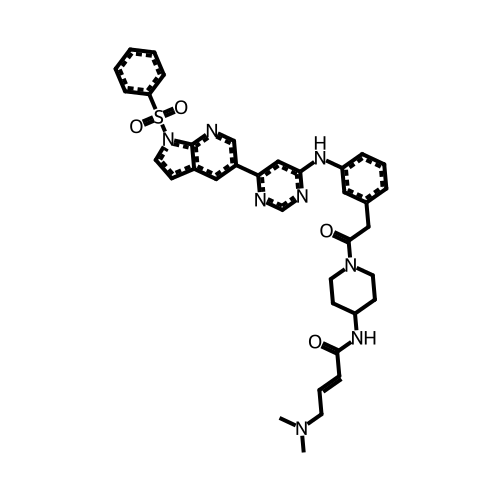 CN(C)CC=CC(=O)NC1CCN(C(=O)Cc2cccc(Nc3cc(-c4cnc5c(ccn5S(=O)(=O)c5ccccc5)c4)ncn3)c2)CC1